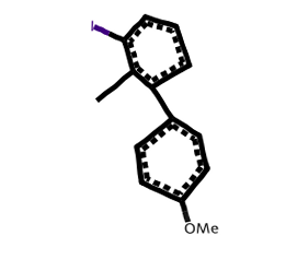 COc1ccc(-c2cccc(I)c2C)cc1